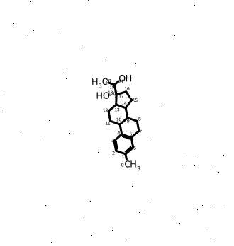 Cc1ccc2c(c1)CCC1C2CCC2C1CC[C@]2(O)C(C)O